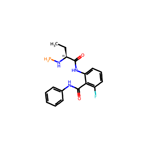 CC[C@H](NP)C(=O)Nc1cccc(F)c1C(=O)Nc1ccccc1